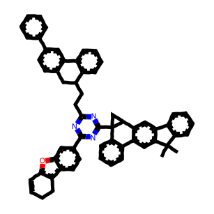 CC1(C)c2ccccc2-c2cc3c(cc21)-c1ccccc1C1(c2nc(CCC4Cc5ccc(-c6ccccc6)cc5-c5ccccc54)nc(-c4ccc5c6c(oc5c4)C=CCC6)n2)CC31